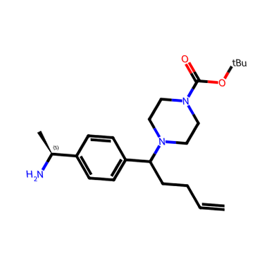 C=CCCC(c1ccc([C@H](C)N)cc1)N1CCN(C(=O)OC(C)(C)C)CC1